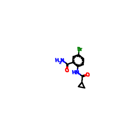 NC(=O)c1cc(Br)ccc1NC(=O)C1CC1